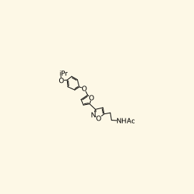 CC(=O)NCCc1cc(-c2ccc(Oc3ccc(OC(C)C)cc3)o2)no1